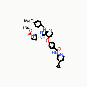 COc1ccc(Cn2nc(N[C@@H]3CCN(C(=O)OC(C)(C)C)C3)c3c(Oc4ccc(C(=O)Nc5cc(C6CC6)ccn5)cc4)ccnc32)cc1